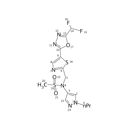 CCCn1cc(N(Cc2ncc(-c3nnc(C(F)F)o3)s2)S(C)(=O)=O)cn1